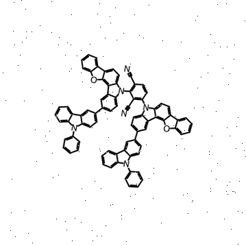 N#Cc1ccc(-n2c3ccc(-c4ccc5c(c4)c4ccccc4n5-c4ccccc4)cc3c3c4oc5ccccc5c4ccc32)c(C#N)c1-n1c2ccc(-c3ccc4c(c3)c3ccccc3n4-c3ccccc3)cc2c2c3oc4ccccc4c3ccc21